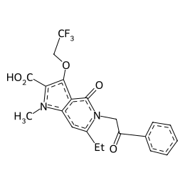 CCc1cc2c(c(OCC(F)(F)F)c(C(=O)O)n2C)c(=O)n1CC(=O)c1ccccc1